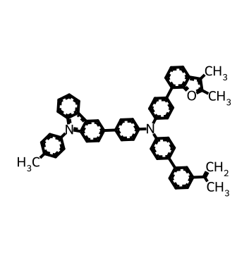 C=C(C)c1cccc(-c2ccc(N(c3ccc(-c4ccc5c(c4)c4ccccc4n5-c4ccc(C)cc4)cc3)c3ccc(-c4cccc5c(C)c(C)oc45)cc3)cc2)c1